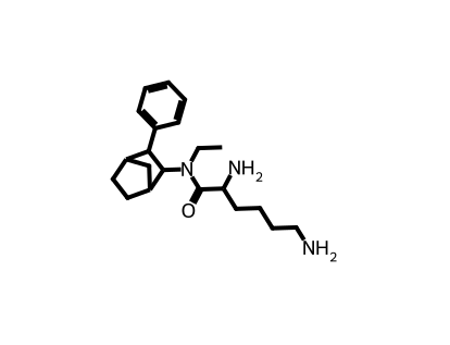 CCN(C(=O)C(N)CCCCN)C1C2CCC(C2)C1c1ccccc1